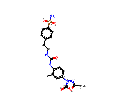 COc1nn(-c2ccc(NC(=O)NCCc3ccc(S(N)(=O)=O)cc3)c(C)c2)c(=O)o1